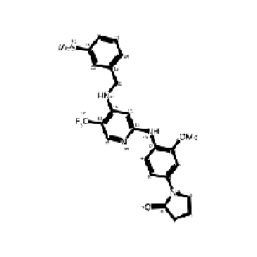 COc1cc(N2CCCC2=O)ccc1Nc1cc(NCc2cccc(SC)c2)c(C(F)(F)F)cn1